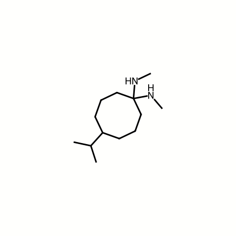 CNC1(NC)CCCC(C(C)C)CCC1